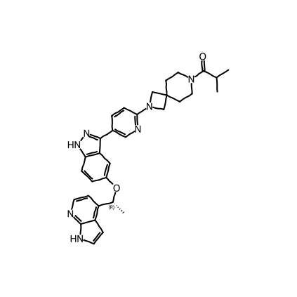 CC(C)C(=O)N1CCC2(CC1)CN(c1ccc(-c3n[nH]c4ccc(O[C@H](C)c5ccnc6[nH]ccc56)cc34)cn1)C2